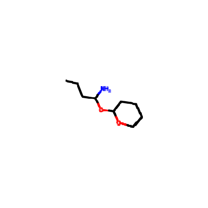 CCCC(N)OC1CCCCO1